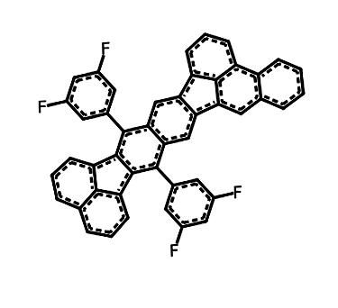 Fc1cc(F)cc(-c2c3cc4c(cc3c(-c3cc(F)cc(F)c3)c3c5cccc6cccc(c23)c65)c2cc3ccccc3c3cccc4c32)c1